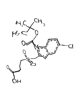 CC(C)(C)OC(=O)n1c(S(=O)(=O)CCC(=O)O)cc2cc(Cl)ccc21